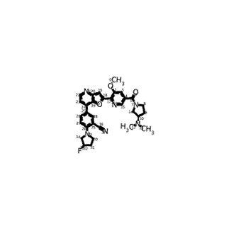 COc1cc(C(=O)N2CC[C@@H](N(C)C)C2)cnc1-c1cc2nccc(-c3ccc(N4CCC(F)C4)c(C#N)c3)c2o1